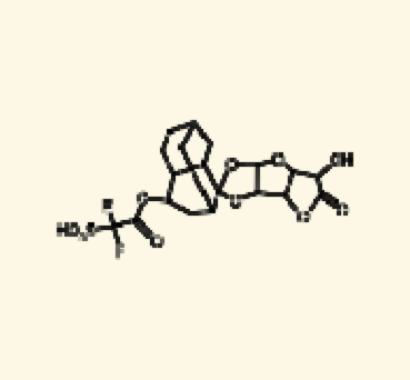 O=C1OC2C3OC4(OC3OC2C1O)C1CC2CCC(C(OC(=O)C(F)(F)S(=O)(=O)O)C1)C4C2